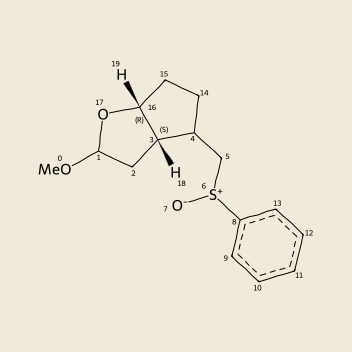 COC1C[C@H]2C(C[S+]([O-])c3ccccc3)CC[C@H]2O1